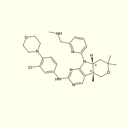 CNCc1cccc(N2c3nc(Nc4ccc(N5CCOCC5)c(Cl)c4)ncc3[C@@]3(C)COC(C)(C)C[C@@H]23)n1